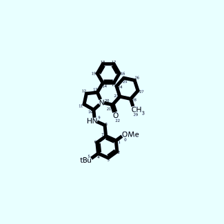 COc1ccc(C(C)(C)C)cc1CNC1CCC(c2ccccc2)N1C(=O)C1CCCCC1C